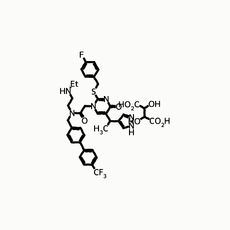 CCNCCN(Cc1ccc(-c2ccc(C(F)(F)F)cc2)cc1)C(=O)Cn1cc(C(C)c2cn[nH]c2)c(=O)nc1SCc1ccc(F)cc1.O=C(O)C(O)C(O)C(=O)O